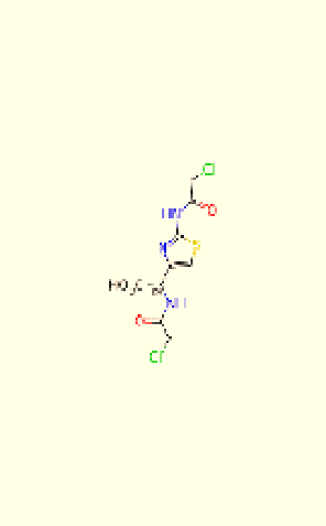 O=C(CCl)Nc1nc([C@H](NC(=O)CCl)C(=O)O)cs1